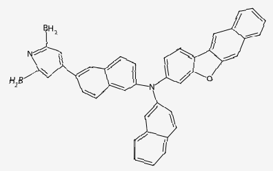 Bc1cc(-c2ccc3cc(N(c4ccc5ccccc5c4)c4ccc5c(c4)oc4cc6ccccc6cc45)ccc3c2)cc(B)n1